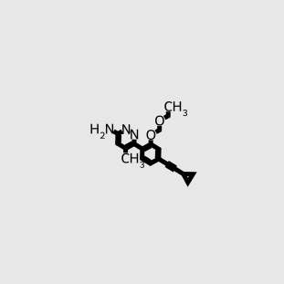 CCOCOc1cc(C#CC2CC2)ccc1-c1nnc(N)cc1C